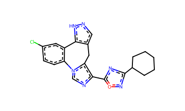 Clc1ccc2c(c1)-c1[nH]ncc1Cc1c(-c3nc(C4CCCCC4)no3)ncn1-2